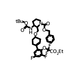 CCOC(=O)C(F)(F)Oc1c(F)cc(F)cc1C1=CCC(OCC2C(NC(=O)OC(C)(C)C)CCCN2C(=O)OCc2ccccc2)CC1